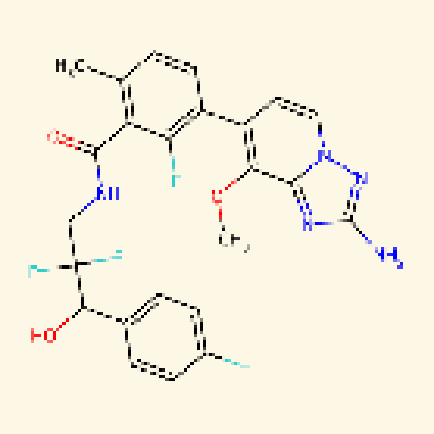 COc1c(-c2ccc(C)c(C(=O)NCC(F)(F)C(O)c3ccc(F)cc3)c2F)ccn2nc(N)nc12